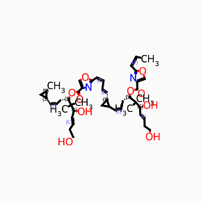 C/C=C\c1nc(C(=O)O[C@@H](C/C=C\C2C[C@@H]2/C=C/C=C\c2nc(C(=O)O[C@@H](C/C=C\[C@H]3C[C@H]3C)C(C)(C)[C@@H](O)/C=C/CCO)co2)C(C)(C)[C@@H](O)/C=C/CCO)co1